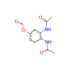 CC(=O)Nc1ccc(OC=O)cc1NC(C)=O